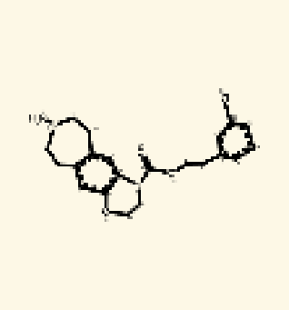 NN1CCc2cc3c(cc2CC1)N(C(=O)OCCc1cccc(Cl)c1)CCO3